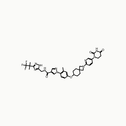 Cc1cc(OC2CCC3(CC2)CN(c2ccc(N4CCC(=O)NC4=O)cn2)C3)ccc1-n1cc(C(=O)NCc2nc(C(C)(C)C(F)(F)F)n[nH]2)cn1